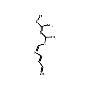 C=C/C=C/N=C\SC(C)/N=C(\N)SCC